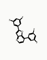 Fc1cc(F)cc(-c2cc3nccc(-c4cc(F)cc(F)c4)c3o2)c1